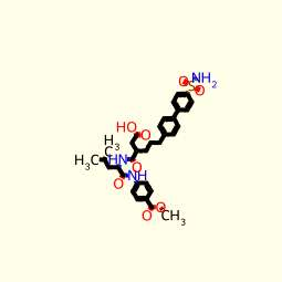 COC(=O)c1ccc(NC(=O)C(CC(C)C)NC(=O)C(CCCc2ccc(-c3ccc(S(N)(=O)=O)cc3)cc2)CC(=O)O)cc1